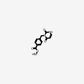 CCCCOC(=O)c1ccc(Cn2c(=O)cc[nH]c2=O)cc1